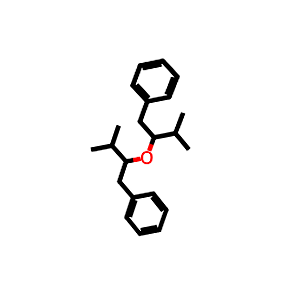 CC(C)C(Cc1ccccc1)OC(Cc1ccccc1)C(C)C